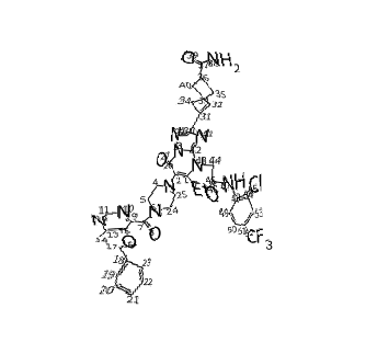 CCc1c(N2CCN(C(=O)c3ncnc(C)c3OCc3ccccc3)CC2)c(=O)n2nc(C3=CC4(C3)CC(C(N)=O)C4)nc2n1CC(=O)Nc1ccc(C(F)(F)F)cc1Cl